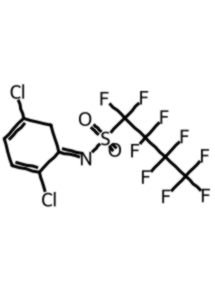 O=S(=O)(N=C1CC(Cl)=CC=C1Cl)C(F)(F)C(F)(F)C(F)(F)C(F)(F)F